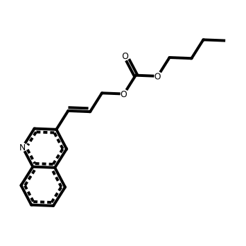 CCCCOC(=O)OCC=Cc1cnc2ccccc2c1